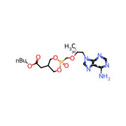 CCCCOC(=O)CC1COP(=O)(CO[C@H](C)Cn2cnc3c(N)ncnc32)OC1